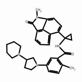 Cc1ccc(N2CCC(N3CCCCC3)C2)cc1C(=O)NC1(c2ccc3c4c(cccc24)C(=O)N3C)CC1